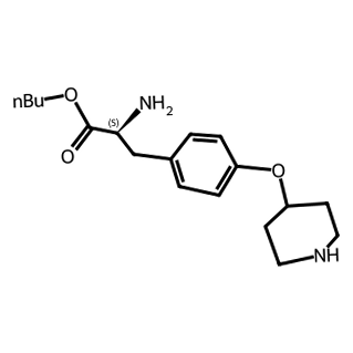 CCCCOC(=O)[C@@H](N)Cc1ccc(OC2CCNCC2)cc1